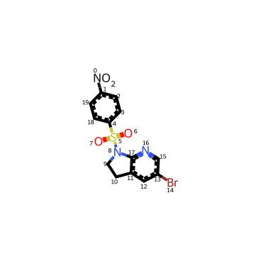 O=[N+]([O-])c1ccc(S(=O)(=O)N2CCc3cc(Br)cnc32)cc1